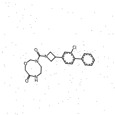 O=C1COCN(C(=O)N2CC(c3ccc(-c4ccccc4)c(Cl)c3)C2)CCN1